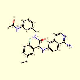 CCc1ccc(F)c(C(Nc2ccc3c(N)nccc3c2)C(=O)NCc2cccc(NC(C)=O)c2)c1